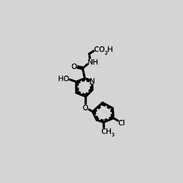 Cc1cc(Oc2cnc(C(=O)NCC(=O)O)c(O)c2)ccc1Cl